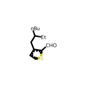 CCCCC(CC)Cc1ccsc1C=O